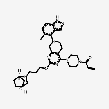 C=CC(=O)N1CCN(c2nc(OCCCN3C[C@H]4CC[C@@H]3C4)nc3c2CCN(c2c(C)ccc4[nH]ncc24)C3)CC1